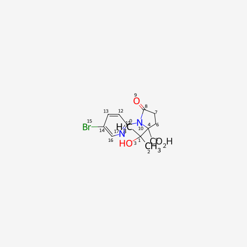 CC(C)(O)C1(C(=O)O)CCC(=O)N1c1ccc(Br)cn1